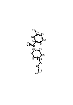 COCCN1CCN(C(=O)c2cccc(C)c2)CC1